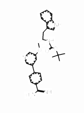 CC(C)(C)OC(=O)N[C@H](COc1cncc(-c2ccc(C(=N)N)cc2)c1)Cc1c[nH]c2ccccc12